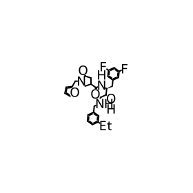 CCc1cccc(CNC[C@@H](O)[C@H](Cc2cc(F)cc(F)c2)NC(=O)C2CC(=O)N(Cc3ccco3)C2)c1